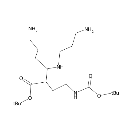 CC(C)(C)OC(=O)NCCC(C(=O)OC(C)(C)C)C(CCCN)NCCCN